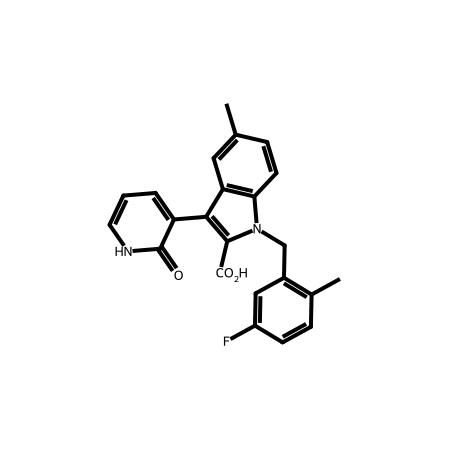 Cc1ccc2c(c1)c(-c1ccc[nH]c1=O)c(C(=O)O)n2Cc1cc(F)ccc1C